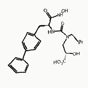 CC(C)CN(C[C@H](O)C(=O)O)C(=O)N[C@@H](Cc1ccc(-c2ccccc2)cc1)C(=O)NO